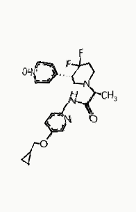 C[C@@H](C(=O)Nc1ccc(OCC2CC2)cn1)N1CCC(F)(F)[C@@H](c2cc[n+]([O-])cc2)C1